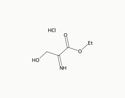 CCOC(=O)C(=N)CO.Cl